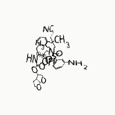 CC(C)(CCC#N)CN(C[C@@H](O)[C@H](Cc1ccccc1)NC(=O)OC1COC2OCCC12)S(=O)(=O)c1cccc(N)c1